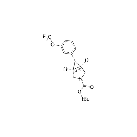 CC(C)(C)OC(=O)N1C[C@@H]2C(c3cccc(OC(F)(F)F)c3)[C@@H]2C1